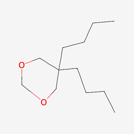 CCCCC1(CCCC)COCOC1